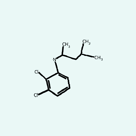 CC(C)CC(C)[N]c1cccc(Cl)c1Cl